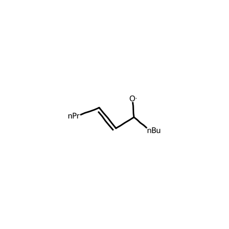 CCCC=CC([O])CCCC